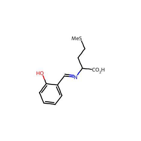 CSCCC(N=Cc1ccccc1O)C(=O)O